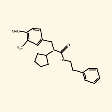 COc1ccc(CN(C(=O)NCCc2ccccc2)C2CCCC2)cc1C